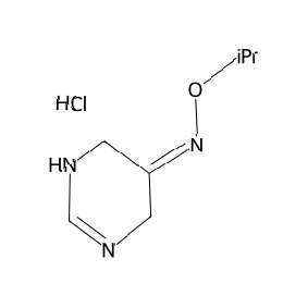 CC(C)O/N=C1/CN=CNC1.Cl